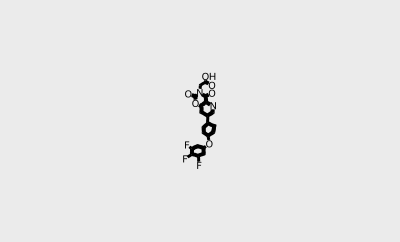 O=C(O)Cn1c(=O)oc2cc(-c3ccc(Oc4cc(F)c(F)c(F)c4)cc3)cnc2c1=O